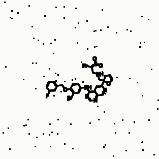 CC(C)C(CNCC1(c2cc3c(Nc4ccc(OCc5cccc(F)c5)c(Br)c4)ncnc3cn2)CC=CO1)=S(=O)=O